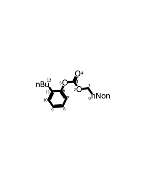 CCCCCCCCCCOC(=O)Oc1ccccc1CCCC